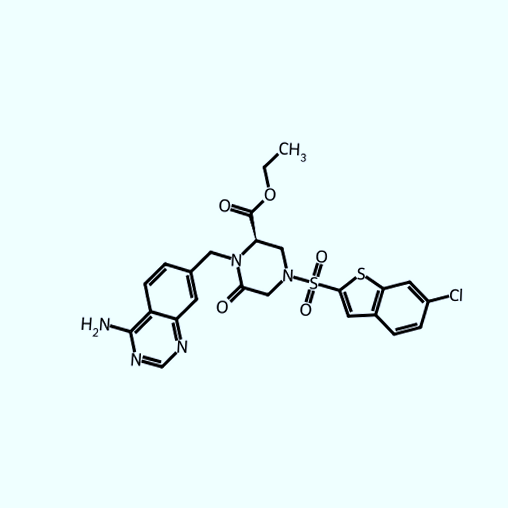 CCOC(=O)[C@H]1CN(S(=O)(=O)c2cc3ccc(Cl)cc3s2)CC(=O)N1Cc1ccc2c(N)ncnc2c1